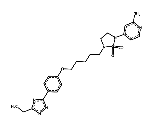 CCn1nnc(-c2ccc(OCCCCCN3CCN(c4ccnc(N)c4)S3(=O)=O)cc2)n1